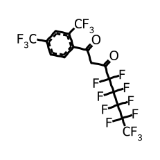 O=C(CC(=O)C(F)(F)C(F)(F)C(F)(F)C(F)(F)C(F)(F)F)c1ccc(C(F)(F)F)cc1C(F)(F)F